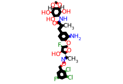 C/C(=C\c1ccc(O[C@@H]2O[C@H](/C(C)=N/OCc3cc(F)cc(Cl)c3Cl)[C@@H](O)[C@H]2F)c(N)c1)C(=O)N[C@@H]1[C@H](O)[C@@H](O)[C@H]2OCO[C@H]2[C@@H]1O